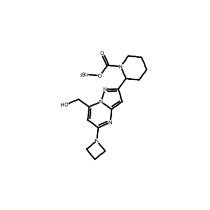 CC(C)(C)OC(=O)N1CCCCC1c1cc2nc(N3CCC3)cc(CO)n2n1